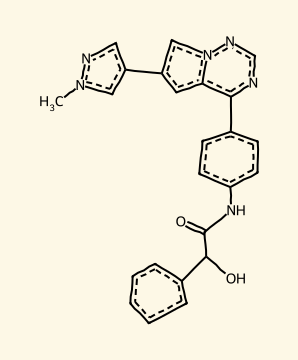 Cn1cc(-c2cc3c(-c4ccc(NC(=O)C(O)c5ccccc5)cc4)ncnn3c2)cn1